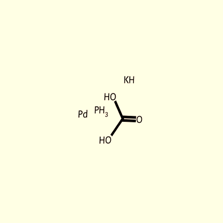 O=C(O)O.P.[KH].[Pd]